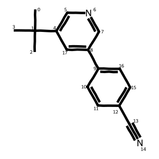 CC(C)(C)c1cncc(-c2ccc(C#N)cc2)c1